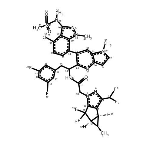 C[C@@H]1[C@@H]2c3c(C(F)F)nn(CC(=O)NC(Cc4cc(F)cc(F)c4)c4nc5ccn(C)c5cc4-c4ccc(Cl)c5c(N(C)S(C)(=O)=O)nn(C)c45)c3C(F)(F)[C@H]12